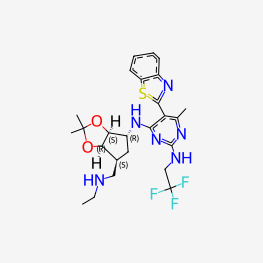 CCNC[C@@H]1C[C@@H](Nc2nc(NCC(F)(F)F)nc(C)c2-c2nc3ccccc3s2)[C@@H]2OC(C)(C)O[C@H]12